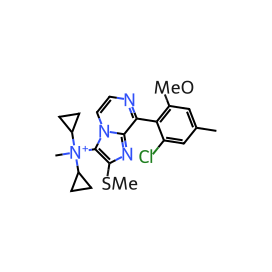 COc1cc(C)cc(Cl)c1-c1nccn2c([N+](C)(C3CC3)C3CC3)c(SC)nc12